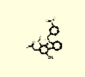 CSc1c(CC(=O)O)cc(C)c2c3ccccc3n(Cc3cccc([N+](=O)[O-])c3)c12